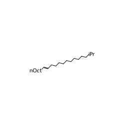 CCCCCCCCC=CCCCCCCCCCCC(C)C